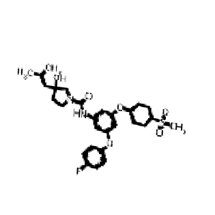 CC(C)CC1(O)CCN(C(=O)Nc2cc(Oc3ccc(F)cc3)cc(OC3CCC(S(C)(=O)=O)CC3)c2)C1